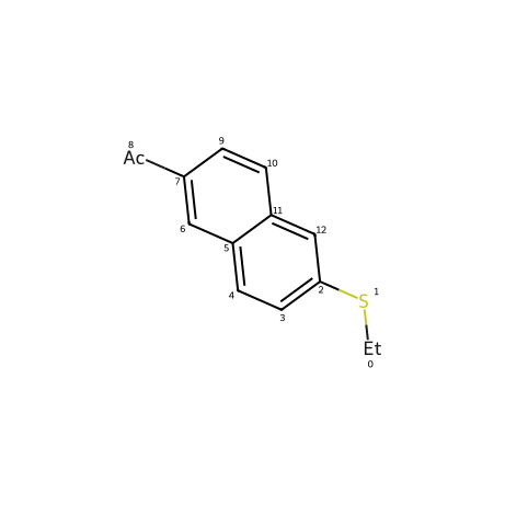 CCSc1ccc2cc(C(C)=O)ccc2c1